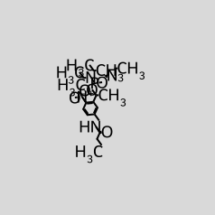 CCCC(=O)NCc1ccc([N+](=O)[O-])c(C(C)OP(O/C=N/CC)N(C(C)C)C(C)C)c1